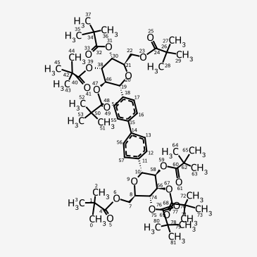 CC(C)(C)C(=O)OC[C@H]1O[C@H](c2ccc(-c3ccc([C@H]4O[C@H](COC(=O)C(C)(C)C)[C@@H](OC(=O)C(C)(C)C)[C@@H](OC(=O)C(C)(C)C)[C@@H]4OC(=O)C(C)(C)C)cc3)cc2)[C@@H](OC(=O)C(C)(C)C)[C@@H](OC(=O)C(C)(C)C)[C@@H]1OC(=O)C(C)(C)C